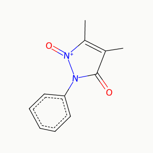 CC1=C(C)[N+](=O)N(c2ccccc2)C1=O